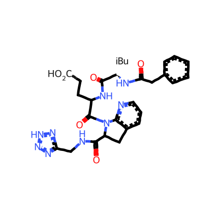 CC[C@H](C)[C@H](NC(=O)Cc1ccccc1)C(=O)NC(CCC(=O)O)C(=O)N1c2ncccc2CC1C(=O)NCc1nn[nH]n1